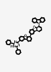 C1=CC2c3cc(-c4cccc5c4oc4ccc(C6=NC(c7ccccc7)NC(c7ccccc7)=N6)cc45)ccc3OC2C(n2c3ccccc3c3ccccc32)=C1